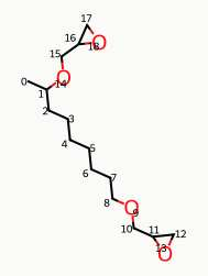 CC(CCCCCCCOCC1CO1)OCC1CO1